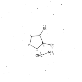 CCC1CCCN1CC.NC=O